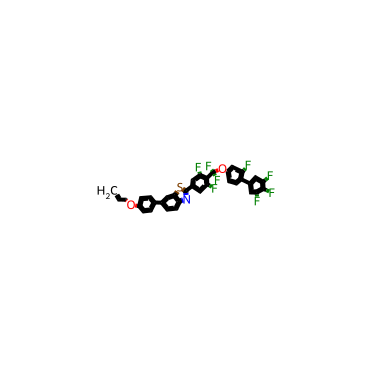 C=CCOc1ccc(-c2ccc3nc(-c4cc(F)c(C(F)(F)Oc5ccc(-c6cc(F)c(F)c(F)c6)c(F)c5)c(F)c4)sc3c2)cc1